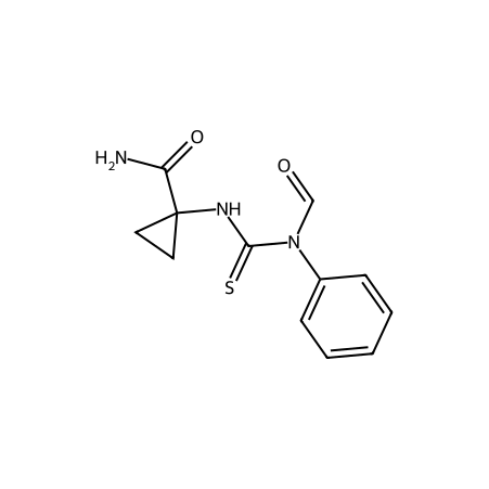 NC(=O)C1(NC(=S)N(C=O)c2ccccc2)CC1